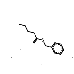 C=C(CCCC)SCc1ccccc1